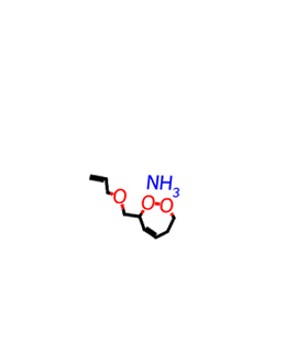 C=CCOCC1C=CCCOO1.N